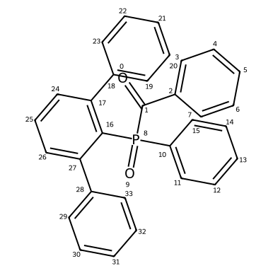 O=C(c1ccccc1)P(=O)(c1ccccc1)c1c(-c2ccccc2)cccc1-c1ccccc1